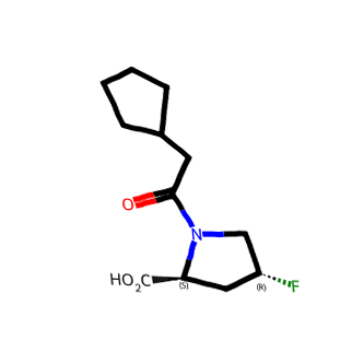 O=C(O)[C@@H]1C[C@@H](F)CN1C(=O)CC1CCCC1